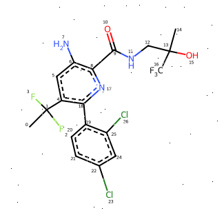 CC(F)(F)c1cc(N)c(C(=O)NCC(C)(O)C(F)(F)F)nc1-c1ccc(Cl)cc1Cl